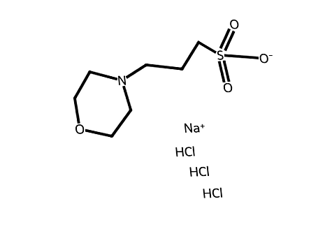 Cl.Cl.Cl.O=S(=O)([O-])CCCN1CCOCC1.[Na+]